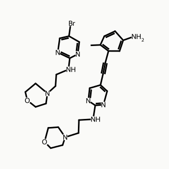 Brc1cnc(NCCN2CCOCC2)nc1.Cc1ccc(N)cc1C#Cc1cnc(NCCN2CCOCC2)nc1